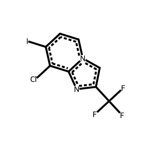 FC(F)(F)c1cn2ccc(I)c(Cl)c2n1